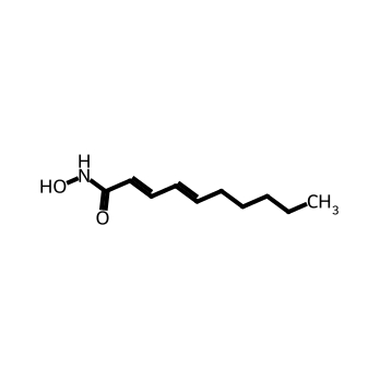 CCCCCC=CC=CC(=O)NO